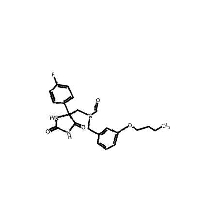 CCCCOc1cccc(CN(C=O)CC2(c3ccc(F)cc3)NC(=O)NC2=O)c1